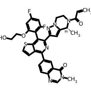 C=CC(=O)N1CCn2nc(-c3nc(-c4ccc5ncn(C)c(=O)c5c4)c4ccsc4c3-c3c(F)cc(F)cc3OCCO)cc2[C@H]1C